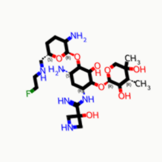 C[C@@H]1C(O)[C@@H](OC2C(O)C(O[C@H]3O[C@H](CNCCF)CCC3N)[C@@H](N)C[C@H]2NC(=N)C2(O)CNC2)OCC1(C)O